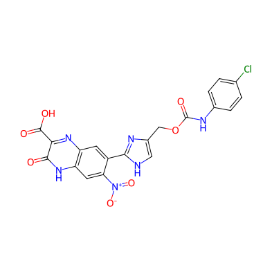 O=C(Nc1ccc(Cl)cc1)OCc1c[nH]c(-c2cc3nc(C(=O)O)c(=O)[nH]c3cc2[N+](=O)[O-])n1